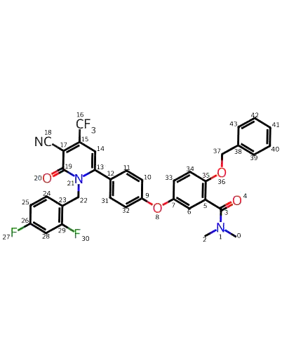 CN(C)C(=O)c1cc(Oc2ccc(-c3cc(C(F)(F)F)c(C#N)c(=O)n3Cc3ccc(F)cc3F)cc2)ccc1OCc1ccccc1